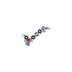 CCC(C)n1ncn(-c2ccc(N3CCN(c4ccc(OCC(O)(Cn5cncn5)c5ccc(Cl)cc5Cl)cc4)CC3)cc2)c1=O